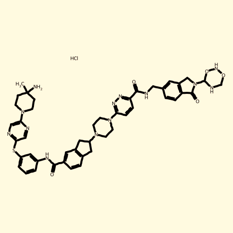 CC1(N)CCN(c2cnc(Sc3cccc(NC(=O)c4ccc5c(c4)CC(N4CCN(c6ccc(C(=O)NCc7ccc8c(c7)CN(C7NCONO7)C8=O)nn6)CC4)C5)c3)cn2)CC1.Cl